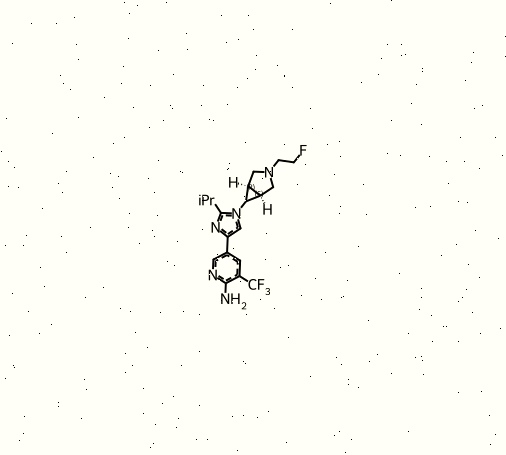 CC(C)c1nc(-c2cnc(N)c(C(F)(F)F)c2)cn1C1[C@H]2CN(CCF)C[C@@H]12